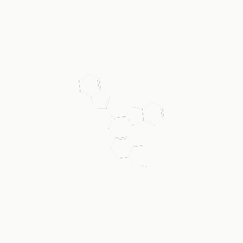 COc1ccc(CN(c2cc3ccccc3s2)c2cc3ccccc3s2)cc1F